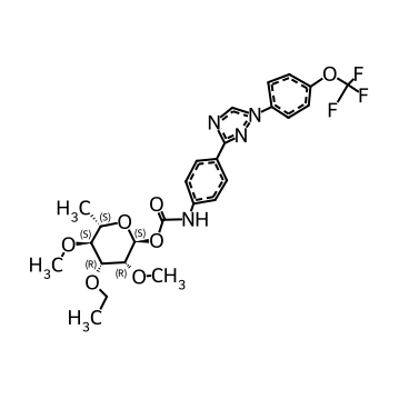 CCO[C@@H]1[C@@H](OC)[C@H](C)O[C@@H](OC(=O)Nc2ccc(-c3ncn(-c4ccc(OC(F)(F)F)cc4)n3)cc2)[C@@H]1OC